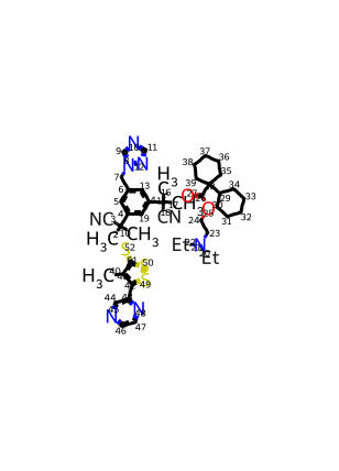 CC(C)(C#N)c1cc(Cn2cncn2)cc(C(C)(C)C#N)c1.CCN(CC)CCOC(=O)C1(C2CCCCC2)CCCCC1.Cc1c(-c2cnccn2)ssc1=S